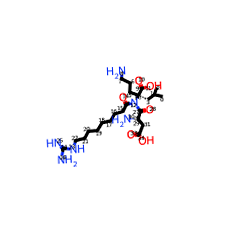 CC(C)C[C@](CCCN)(C(=O)O)N(C(=O)CCCCCCCCNC(=N)N)C(=O)[C@@H](N)CC(=O)O